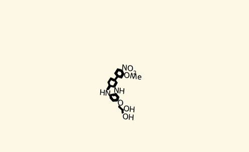 COc1cc(C2=CCC3=CNc4ccc(OCC(O)CO)cc4NC3=C2)ccc1[N+](=O)[O-]